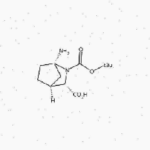 CC(C)(C)OC(=O)N1[C@H](C(=O)O)[C@H]2CC[C@]1(N)C2